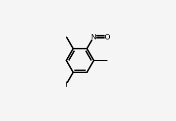 Cc1cc(I)cc(C)c1N=O